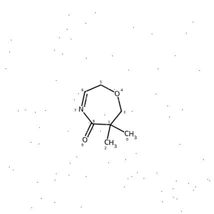 CC1(C)COCC=NC1=O